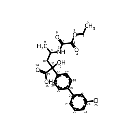 CCOC(=O)C(=O)NC(C)CC(O)(C(=O)O)c1ccc(-c2cccc(Cl)c2)cc1